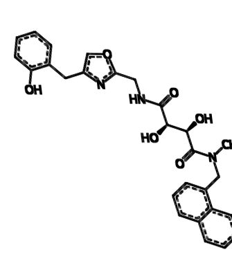 CN(Cc1cccc2ccccc12)C(=O)[C@H](O)[C@@H](O)C(=O)NCc1nc(Cc2ccccc2O)co1